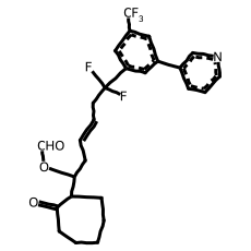 O=COC(CC=CCC(F)(F)c1cc(-c2cccnc2)cc(C(F)(F)F)c1)C1CCCCCC1=O